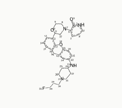 O=c1[nH]cccc1N1CCOC(c2cccc3c2Oc2ccc(NC4CCN(CCCF)CC4)cc2C3)C1